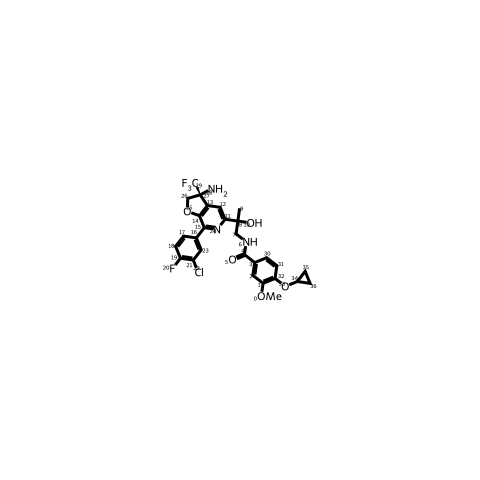 COc1cc(C(=O)NCC(C)(O)c2cc3c(c(-c4ccc(F)c(Cl)c4)n2)OC[C@@]3(N)C(F)(F)F)ccc1OC1CC1